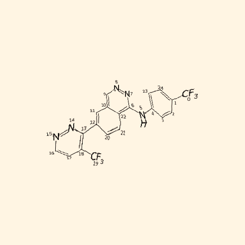 FC(F)(F)c1ccc(Nc2nncc3cc(-c4nnccc4C(F)(F)F)ccc23)cc1